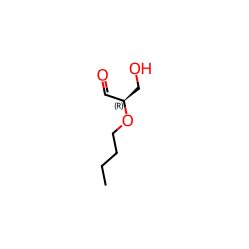 CCCCO[C@@H](C=O)CO